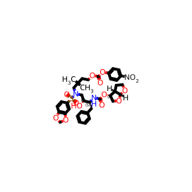 CC(C)(CCOC(=O)Oc1ccc([N+](=O)[O-])cc1)CN(C[C@H](O)[C@H](Cc1ccccc1)NC(=O)O[C@H]1CO[C@H]2OCC[C@H]21)S(=O)(=O)c1ccc2c(c1)OCO2